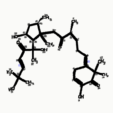 C[C@@H](CC/C=C1\CC=C(O)C(=O)C1(C)C)C(=O)CC1(C)[C@@H](C(C)(O)C(=O)/C=C/C(C)(C)O)[C@@H](O)C[C@@H]1C